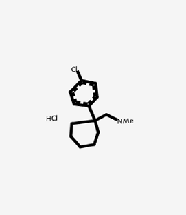 CNCC1(c2ccc(Cl)cc2)CCCCC1.Cl